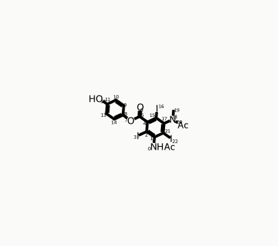 CC(=O)Nc1c(I)c(C(=O)Oc2ccc(O)cc2)c(I)c(N(C)C(C)=O)c1I